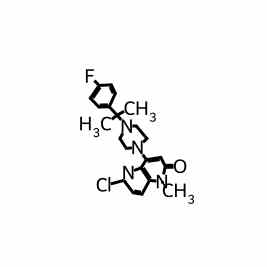 Cn1c(=O)cc(N2CCN(C(C)(C)c3ccc(F)cc3)CC2)c2nc(Cl)ccc21